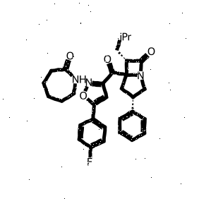 CC(C)C[C@@H]1C(=O)N2C[C@H](c3ccccc3)CC12C(=O)c1cc(-c2ccc(F)cc2)on1.O=C1CCCCCN1